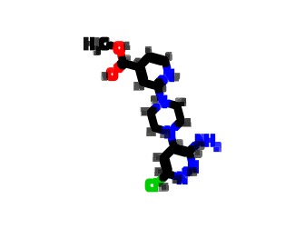 COC(=O)c1ccnc(N2CCN(c3cc(Cl)nnc3N)CC2)c1